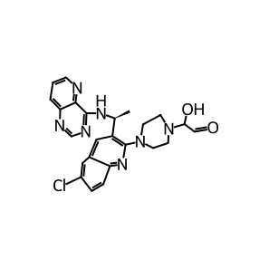 C[C@H](Nc1ncnc2cccnc12)c1cc2cc(Cl)ccc2nc1N1CCN(C(O)C=O)CC1